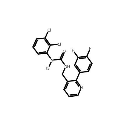 O=C(NCc1cccnc1-c1ccc(F)c(F)c1)N(S)c1cccc(Cl)c1Cl